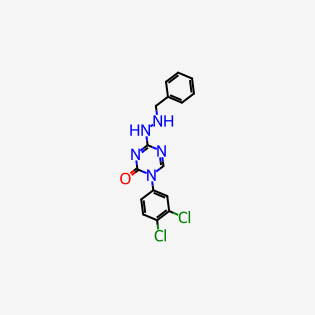 O=c1nc(NNCc2ccccc2)ncn1-c1ccc(Cl)c(Cl)c1